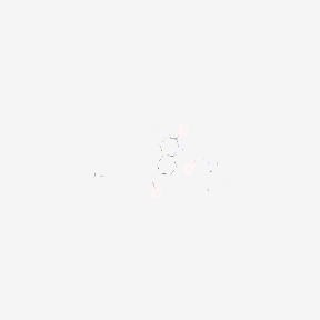 CCc1cc2cc(C(=O)C3CCC(OC)CC3)ccc2n(CC(=O)NC23CC4CC(CC(C4)C2)C3)c1=O